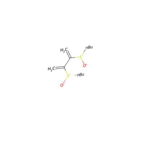 C=C(C(=C)[S@@+]([O-])CCCC)[S+]([O-])CCCC